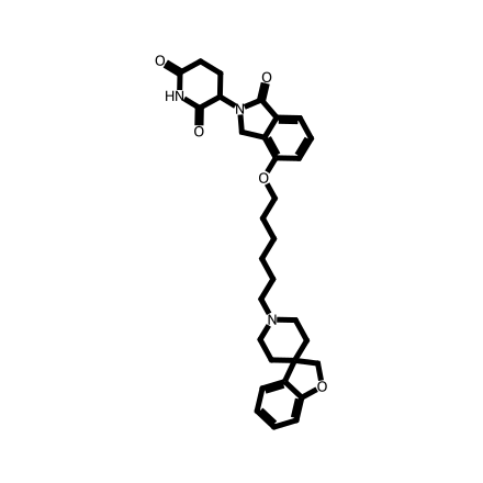 O=C1CCC(N2Cc3c(OCCCCCCN4CCC5(CC4)COc4ccccc45)cccc3C2=O)C(=O)N1